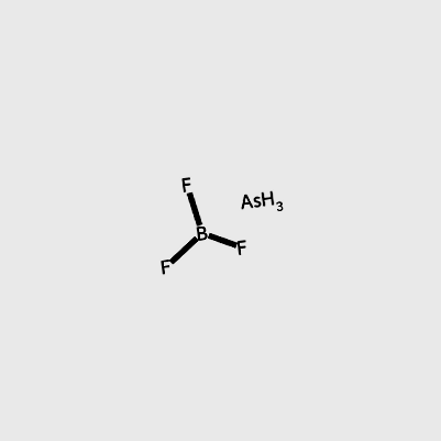 FB(F)F.[AsH3]